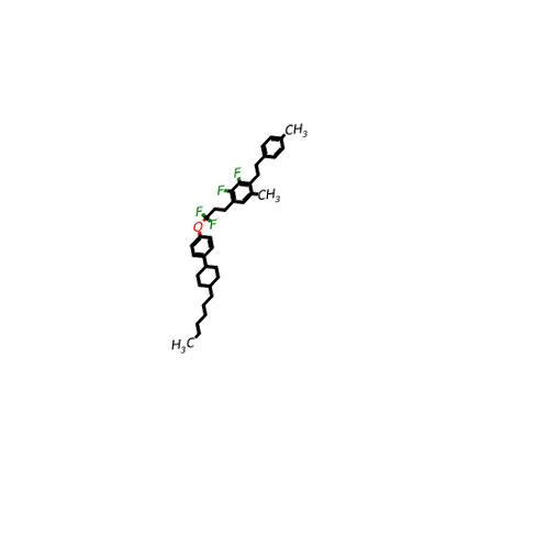 CCCCCCC1CCC(c2ccc(OC(F)(F)CCc3cc(C)c(CCc4ccc(C)cc4)c(F)c3F)cc2)CC1